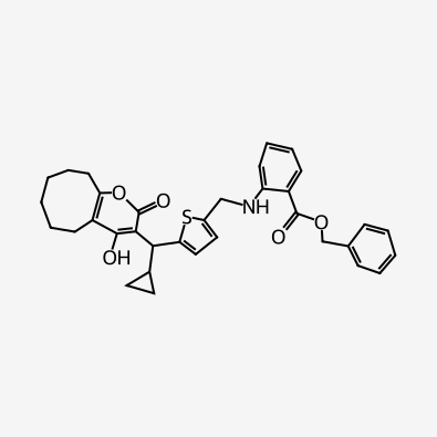 O=C(OCc1ccccc1)c1ccccc1NCc1ccc(C(c2c(O)c3c(oc2=O)CCCCCC3)C2CC2)s1